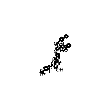 Cc1ncsc1-c1ccc(CNC(=S)[C@@H]2C[C@@H](O)CN2C(=O)[C@H](C(C)C)N2Cc3ccc(O[C@@H]4C[C@@H](C(=O)NCc5ccc(C6CCCC6)cc5)N(C(=O)[C@H](C(C)C)N5Cc6ccccc6C5=O)C4)cc3C2=O)cc1